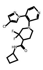 O=C(NC1CCC1)C1CCN(c2cnccc2-n2cc(Cl)cn2)CC1(F)F